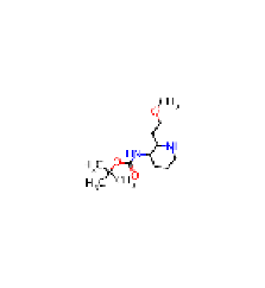 COCC[C@H]1NCCC[C@H]1NC(=O)OC(C)(C)C